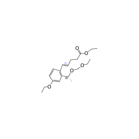 CCOCO[C@H](C)c1cc(OCC)ccc1/C=C/CCC(=O)OCC